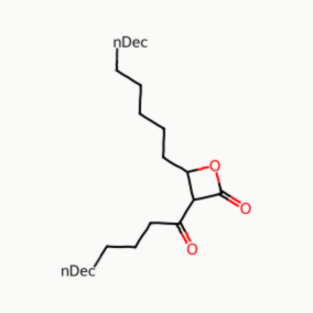 CCCCCCCCCCCCCCCC1OC(=O)C1C(=O)CCCCCCCCCCCCC